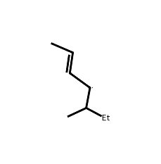 C/C=C/[CH]C(C)CC